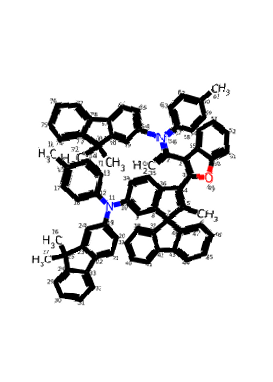 C=C(c1c(C2=C(C)C3(c4cc(N(c5ccc(C)cc5)c5ccc6c(c5)C(C)(C)c5ccccc5-6)ccc42)c2ccccc2-c2ccccc23)oc2ccccc12)N(c1ccc(C)cc1)c1ccc2c(c1)C(C)(C)c1ccccc1-2